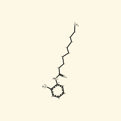 CCCCCCCCCC(=O)Nc1ccccc1C